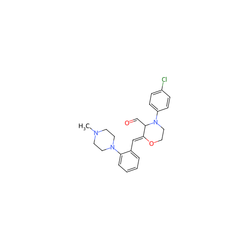 CN1CCN(c2ccccc2C=C2OCCN(c3ccc(Cl)cc3)C2C=O)CC1